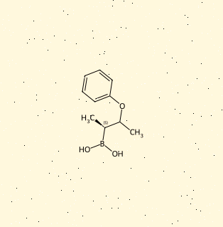 CC(Oc1ccccc1)[C@H](C)B(O)O